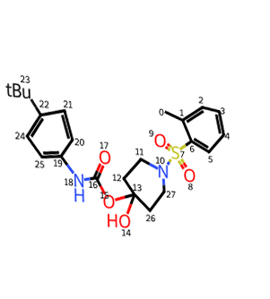 Cc1ccccc1S(=O)(=O)N1CCC(O)(OC(=O)Nc2ccc(C(C)(C)C)cc2)CC1